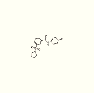 O=C(Nc1ccc(F)cc1)c1cccc(S(=O)(=O)N2CCCC2)c1